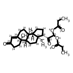 CCC(=O)OC(OC(=O)CC)C(=O)[C@H]1CC[C@H]2[C@@H]3CCC4=CC(=O)CC[C@]4(C)[C@H]3CC[C@]12C